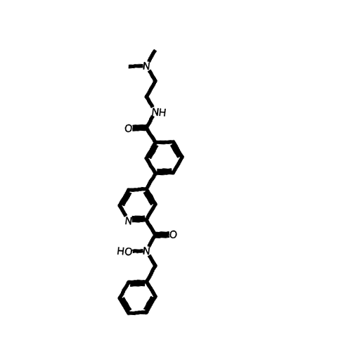 CN(C)CCNC(=O)c1cccc(-c2ccnc(C(=O)N(O)Cc3ccccc3)c2)c1